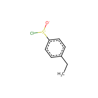 CCc1ccc([S+]([O-])Cl)cc1